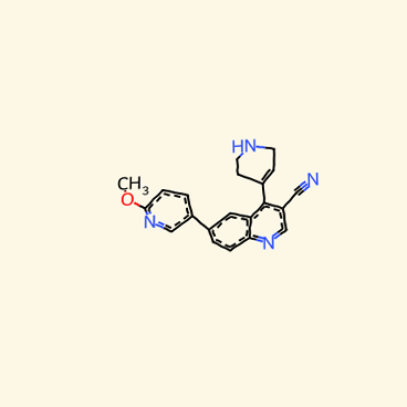 COc1ccc(-c2ccc3ncc(C#N)c(C4=CCNCC4)c3c2)cn1